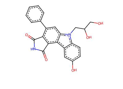 O=C1NC(=O)c2c1c(-c1ccccc1)cc1c2c2cc(O)ccc2n1CC(O)CO